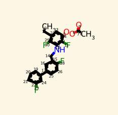 CCc1cc(OOC(C)=O)c(F)c(NCc2cc(-c3cccc(F)c3)ccc2F)c1F